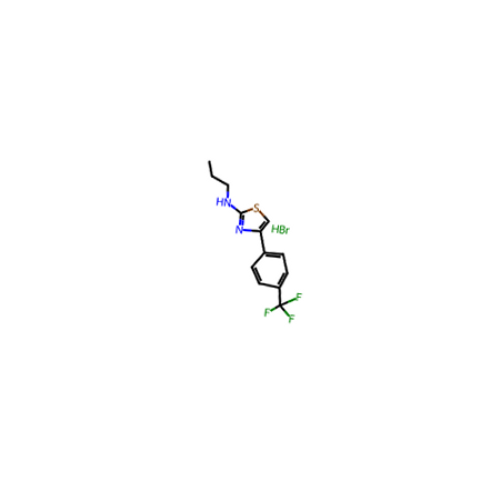 Br.CCCNc1nc(-c2ccc(C(F)(F)F)cc2)cs1